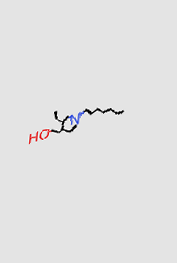 C=C[C@H]1CN(CCCCCCC)CC[C@H]1CCO